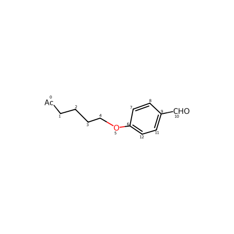 CC(=O)CCCCOc1ccc(C=O)cc1